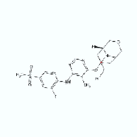 Cc1c(Nc2ccc(S(C)(=O)=O)cc2F)ncnc1OC1CC2COC[C@@H](C1)N2CCC(C)C